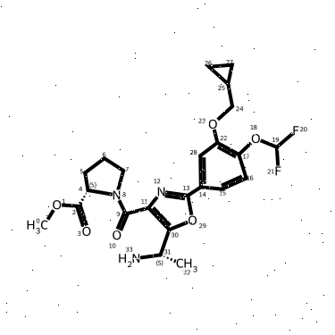 COC(=O)[C@@H]1CCCN1C(=O)c1nc(-c2ccc(OC(F)F)c(OCC3CC3)c2)oc1[C@H](C)N